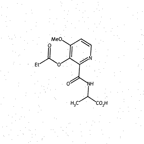 CCC(=O)Oc1c(OC)ccnc1C(=O)NC(C)C(=O)O